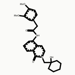 COc1ccc(CC(=O)Nc2cccc3c(=O)n(CC4(O)CCCCC4)ccc23)cc1OC